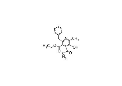 CCOC(=O)c1c(Cc2ccccc2)nc(C)c(O)c1C(C)=O